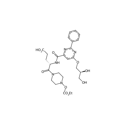 CCOC(=O)ON1CCN(C(=O)[C@H](CCC(=O)O)NC(=O)c2cc(OC[C@@H](O)CO)nc(-c3ccccc3)n2)CC1